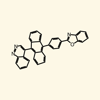 c1ccc2oc(-c3ccc(-c4c5ccccc5c(-c5cnnc6ccccc56)c5ccccc45)cc3)nc2c1